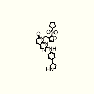 O=c1ccc2cnc(Nc3ccc(C4CCNC4)cc3)nc2n1Cc1ccoc1S(=O)(=O)C1CCCC1